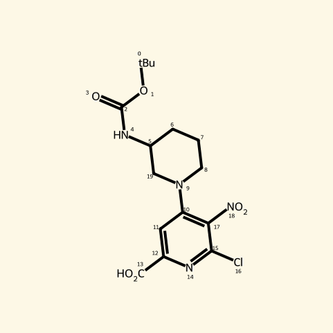 CC(C)(C)OC(=O)NC1CCCN(c2cc(C(=O)O)nc(Cl)c2[N+](=O)[O-])C1